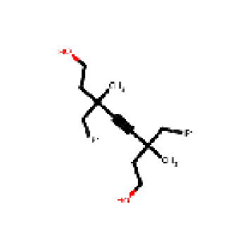 CC(C)CC(C)(C#CC(C)(CCO)CC(C)C)CCO